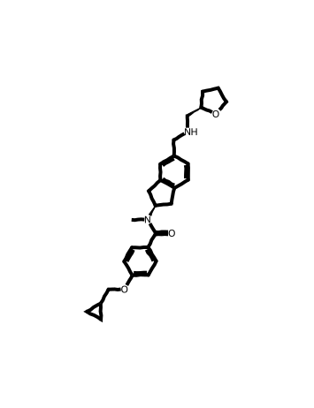 CN(C(=O)c1ccc(OCC2CC2)cc1)[C@@H]1Cc2ccc(CNC[C@H]3CCCO3)cc2C1